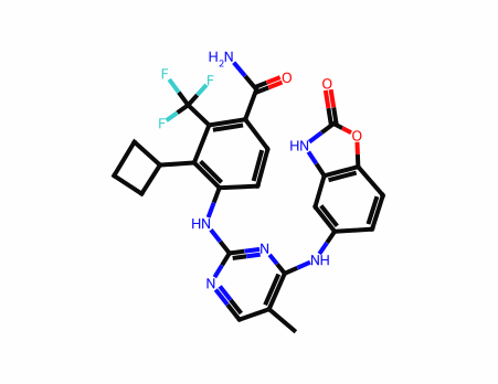 Cc1cnc(Nc2ccc(C(N)=O)c(C(F)(F)F)c2C2CCC2)nc1Nc1ccc2oc(=O)[nH]c2c1